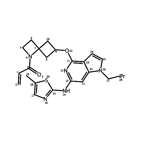 C=CC(=O)N1CCC12CC(Oc1nc(Nc3ncc(C)s3)cc3c1ccn3CC(C)C)C2